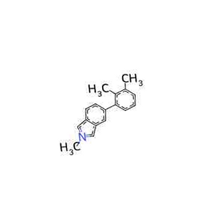 Cc1cccc(-c2ccc3cn(C)cc3c2)c1C